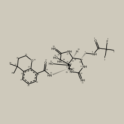 CC(F)(F)C(=O)NC[C@@H]1NC(=N)N2C[C@H](NC(=O)c3cccc4c3OCCC4(C)C)C(O)(O)[C@@]23NC(=N)N[C@@H]13